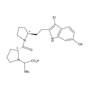 CCCCC(C(=O)O)N1CCC[C@@H]1C(=O)N1CCC[C@H]1CCc1[nH]c2cc(C#N)ccc2c1CC